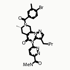 CNC(=O)c1ccc(-n2c(=O)c3c(n4ncc(CC(C)C)c24)CN(C(=O)c2ccc(Br)c(C)c2)[C@@H](C)C3)nn1